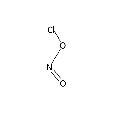 O=NOCl